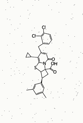 Cc1cc(C)cc([C@@H]2CC3(C(=O)O)C2Sc2c(C4CC4)c(Cc4cccc(Cl)c4Cl)cc(=O)n23)c1